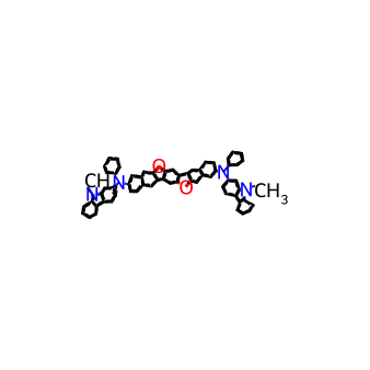 CCn1c2ccccc2c2ccc(N(c3ccccc3)c3ccc4cc5c(cc4c3)oc3cc4c(cc35)oc3cc5cc(N(c6ccccc6)c6ccc7c8ccccc8n(CC)c7c6)ccc5cc34)cc21